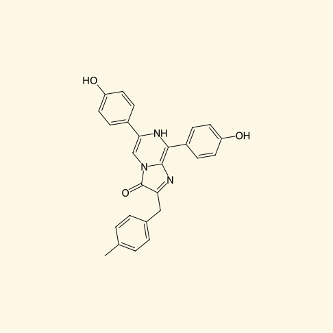 Cc1ccc(Cc2nc3c(-c4ccc(O)cc4)[nH]c(-c4ccc(O)cc4)cn-3c2=O)cc1